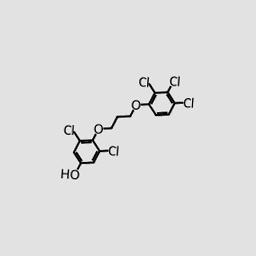 Oc1cc(Cl)c(OCCCOc2ccc(Cl)c(Cl)c2Cl)c(Cl)c1